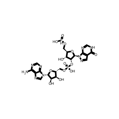 Nc1ncnc2c1ncn2[C@@H]1O[C@H](COP(=O)(O)O[C@@H]2[C@H](O)[C@@H](CO[PH](=O)O)O[C@H]2n2ncc3c(=O)[nH]cnc32)[C@@H](O)[C@H]1O